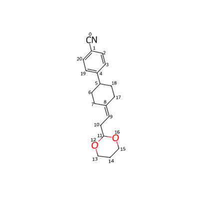 N#Cc1ccc(C2CCC(=CCC3OCCCO3)CC2)cc1